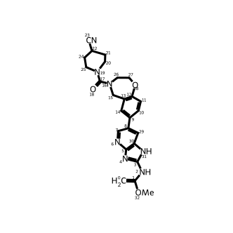 C=C(Nc1nc2ncc(-c3ccc4c(c3)CN(C(=O)N3CCC(C#N)CC3)CCO4)cc2[nH]1)OC